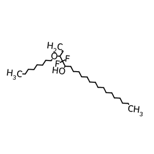 C=CC(OCCCCCCCC)C(F)(F)C(O)CCCCCCCCCCCCCCCC